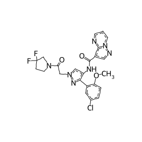 COc1ccc(Cl)cc1-c1nn(CC(=O)N2CCC(F)(F)C2)cc1NC(=O)c1cnn2cccnc12